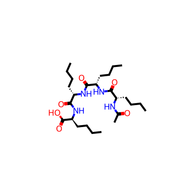 CCCC[C@H](NC(=O)[C@H](CCCC)NC(=O)[C@H](CCCC)NC(=O)[C@H](CCCC)NC(C)=O)C(=O)O